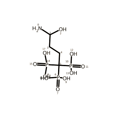 NC(O)CCC(P(=O)(O)O)(P(=O)(O)O)P(=O)(O)O